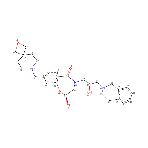 O=C1c2ccc(CN3CCC4(CC3)COC4)cc2O[C@H](O)CN1C[C@H](O)CN1CCc2ccccc2C1